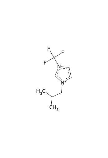 CC(C)C[n+]1ccn(C(F)(F)F)c1